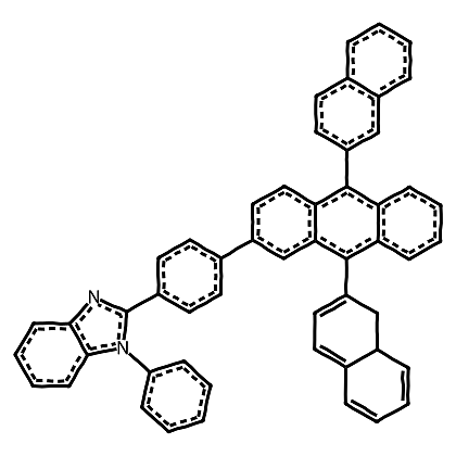 C1=CC2=CC=C(c3c4ccccc4c(-c4ccc5ccccc5c4)c4ccc(-c5ccc(-c6nc7ccccc7n6-c6ccccc6)cc5)cc34)CC2C=C1